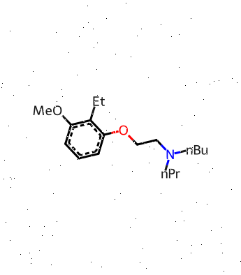 CCCCN(CCC)CCOc1cccc(OC)c1CC